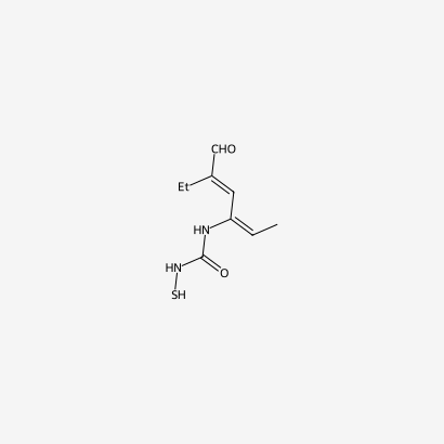 C/C=C(\C=C(\C=O)CC)NC(=O)NS